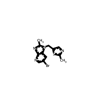 Cc1ncc(Cn2c(C)nc3ncc(Br)cc32)s1